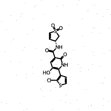 O=C(N[C@@H]1C=CS(=O)(=O)C1)c1cc(O)c(-c2ccsc2Cl)[nH]c1=O